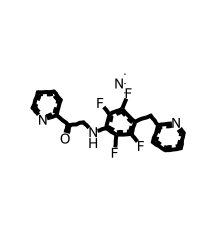 O=C(CNc1c(F)c(F)c(Cc2ccccn2)c(F)c1F)c1ccccn1.[N]